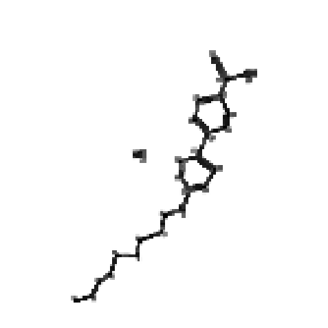 CCCCCCCCCOc1ccc(-c2ccc(C(=O)O)cc2)cc1.Cl